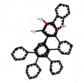 Nc1cccc(-c2cc(-c3ccccc3)c(-c3ccccc3)c(-c3ccccc3)c2-c2ccccc2-c2c(-c3ccccc3)ccc3c2[nH]c2ccccc23)c1N